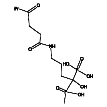 CC(C)C(=O)CCC(=O)NCCCC(O)(P(C)(=O)O)P(=O)(O)O